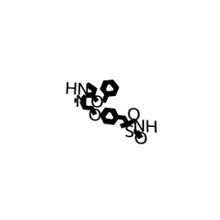 CN(CCOc1ccc(CC2(C)SC(=O)NC2=O)cc1)c1[nH]ccc1OCc1ccccc1